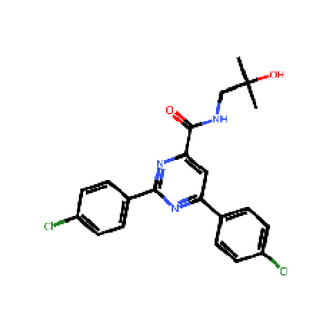 CC(C)(O)CNC(=O)c1cc(-c2ccc(Cl)cc2)nc(-c2ccc(Cl)cc2)n1